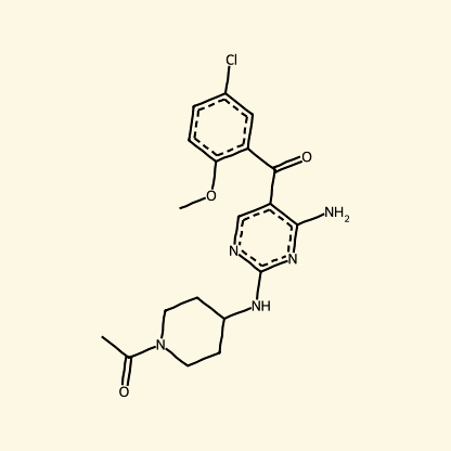 COc1ccc(Cl)cc1C(=O)c1cnc(NC2CCN(C(C)=O)CC2)nc1N